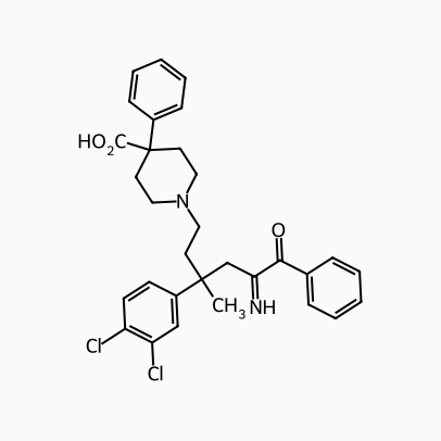 CC(CCN1CCC(C(=O)O)(c2ccccc2)CC1)(CC(=N)C(=O)c1ccccc1)c1ccc(Cl)c(Cl)c1